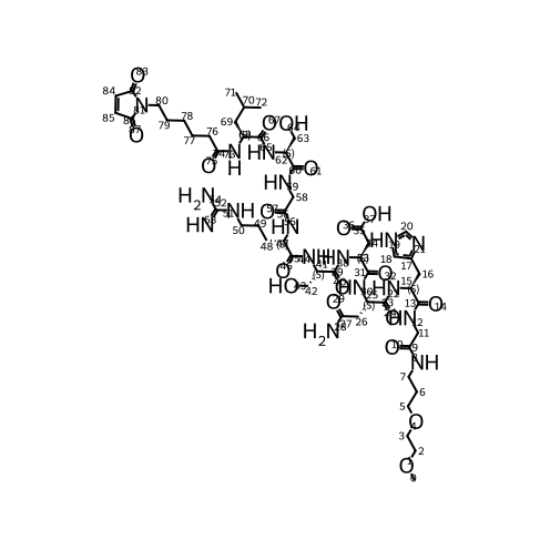 COCCOCCCNC(=O)CNC(=O)[C@H](Cc1c[nH]cn1)NC(=O)[C@H](CC(N)=O)NC(=O)[C@H](CC(=O)O)NC(=O)[C@H](CO)NC(=O)[C@H](CCCNC(=N)N)NC(=O)CNC(=O)[C@H](CO)NC(=O)[C@H](CC(C)C)NC(=O)CCCCCN1C(=O)C=CC1=O